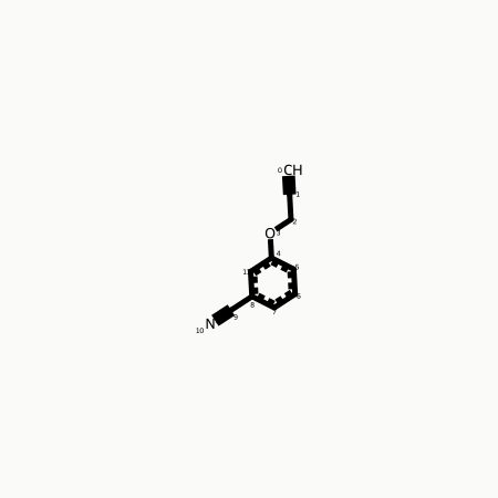 C#CCOc1cccc(C#N)c1